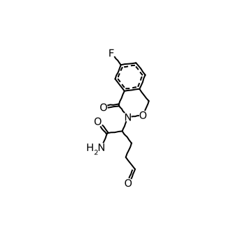 NC(=O)C(CCC=O)N1OCc2ccc(F)cc2C1=O